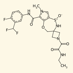 CCNC(=O)C(=O)N1CC2(COc3c(cn(C)c3C(=O)Nc3ccc(F)c(C(F)F)c3)[S+]([O-])N2)C1